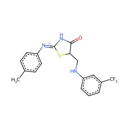 Cc1ccc(/N=C2/NC(=O)C(CNc3cccc(C(F)(F)F)c3)S2)cc1